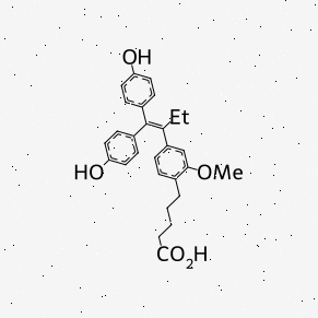 CCC(=C(c1ccc(O)cc1)c1ccc(O)cc1)c1ccc(CCCCC(=O)O)c(OC)c1